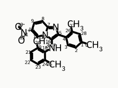 Cc1ccc(-c2nc3ccc([N+](=O)[O-])cn3c2Nc2c(C)cccc2C)c(C)c1